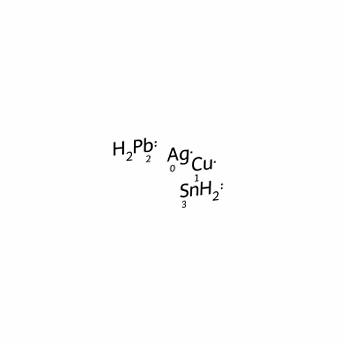 [Ag].[Cu].[PbH2].[SnH2]